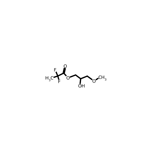 COCC(O)COC(=O)C(C)(F)F